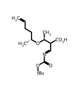 C=CCC[C@@H](C)O[C@@H](C)C(/C=N/C(=O)OC(C)(C)C)C(=O)O